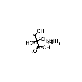 O=C(O)C(O)(Cl)CO.[AlH3].[NaH]